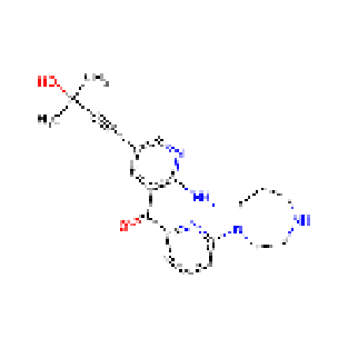 CC(C)(O)C#Cc1cnc(N)c(C(=O)c2cccc(N3CCCNCC3)n2)c1